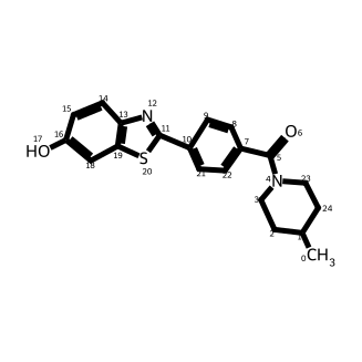 CC1CCN(C(=O)c2ccc(-c3nc4ccc(O)cc4s3)cc2)CC1